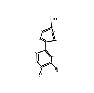 O=Cc1ccc(-c2ccc(Cl)c(Br)c2)cc1